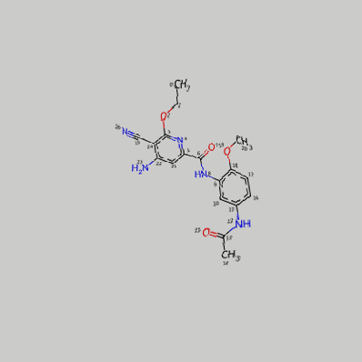 CCOc1nc(C(=O)Nc2cc(NC(C)=O)ccc2OC)cc(N)c1C#N